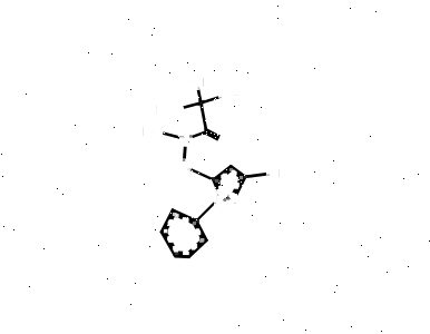 Cc1cc(ON(C)C(=O)C(C)(C)C)n(-c2ccccc2)n1